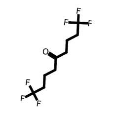 O=C(CCCC(F)(F)F)CCCC(F)(F)F